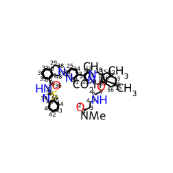 CNC(=O)CCNCCOC12CC3(C)CC(C)(CC(Cn4ncc(-c5ccc(N6CCc7cccc(C(=O)Nc8nc9ccccc9s8)c7C6)nc5C(=O)O)c4C)(C3)C1)C2